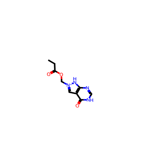 CCC(=O)OC[n+]1cc2c(=O)[nH]cnc2[nH]1